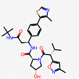 Cc1cc([C@H](C(=O)N2C[C@H](O)C[C@H]2C(=O)N[C@@H](CC(=O)NC(C)(C)C)c2ccc(-c3scnc3C)cc2)C(C)C)on1